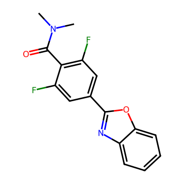 CN(C)C(=O)c1c(F)cc(-c2nc3ccccc3o2)cc1F